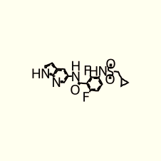 O=C(Nc1cnc2[nH]ccc2c1)c1c(F)ccc(NS(=O)(=O)CC2CC2)c1F